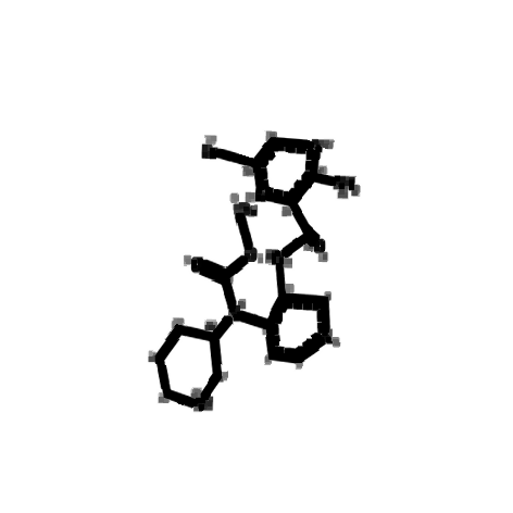 CC(C)(C)OC(=O)N(c1ccncc1NC(=O)c1nc(Br)cnc1N)C1CCCNC1